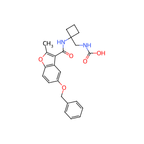 Cc1oc2ccc(OCc3ccccc3)cc2c1C(=O)NC1(CNC(=O)O)CCC1